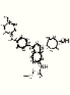 COCC(C)Nc1ncc2c(-c3ccc(CN4CCN(C)CC4)cc3)cn([C@H]3CC[C@H](O)CC3)c2n1